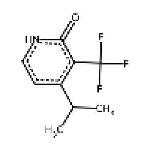 CC(C)c1cc[nH]c(=O)c1C(F)(F)F